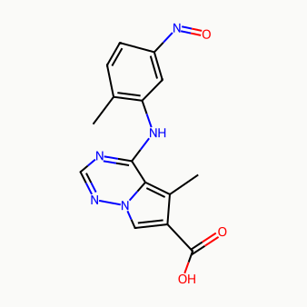 Cc1ccc(N=O)cc1Nc1ncnn2cc(C(=O)O)c(C)c12